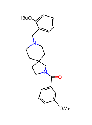 COc1cccc(C(=O)N2CCC3(CCN(Cc4ccccc4OCC(C)C)CC3)C2)c1